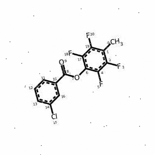 Cc1c(F)c(F)c(OC(=O)c2cccc(Cl)c2)c(F)c1F